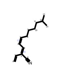 C=C/C(C#N)=C\C=C/CCCCC(C)C